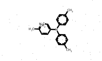 C=C(C)/C=C\C(=C/C)N(c1ccc(C)cc1)c1ccc(C)cc1